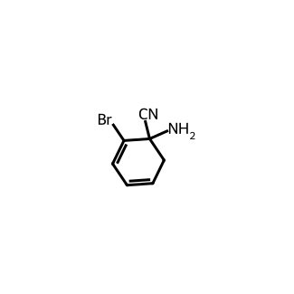 N#CC1(N)CC=CC=C1Br